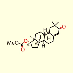 COC(=O)O[C@H]1CC[C@H]2[C@@H]3CCC4=CC(=O)C(C)(C)C[C@@H]4[C@H]3CC[C@]12C